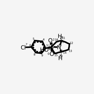 O=S(=O)(c1ccc(Cl)cc1)N1[C@@H]2CC[C@H]1C[C@H](O)C2